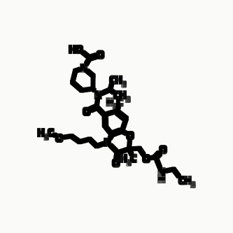 CCNC(=O)OCC1(C)Oc2cc(C)c(C(=O)N(C(C)C)[C@@H]3CCCN(C(=O)O)C3)cc2N(CCCCOC)C1=O